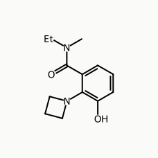 CCN(C)C(=O)c1cccc(O)c1N1CCC1